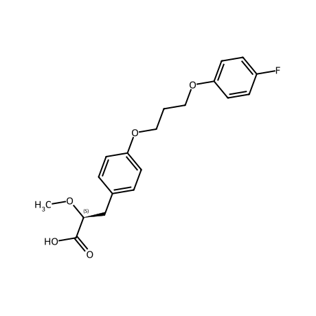 CO[C@@H](Cc1ccc(OCCCOc2ccc(F)cc2)cc1)C(=O)O